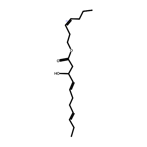 CCC=CCCC=CC(O)CC(=O)OCC/C=C\CCC